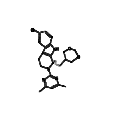 Cc1cc(C)nc(N2CCc3c([nH]c4ccc(Cl)cc34)[C@@H]2CC2COCOC2)n1